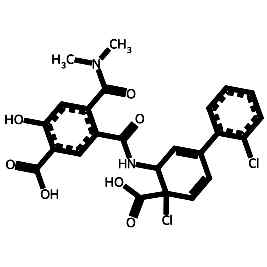 CN(C)C(=O)c1cc(O)c(C(=O)O)cc1C(=O)NC1C=C(c2ccccc2Cl)C=CC1(Cl)C(=O)O